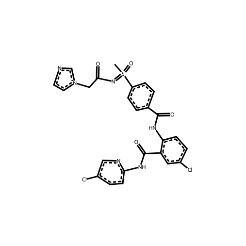 CS(=O)(=NC(=O)Cn1ccnc1)c1ccc(C(=O)Nc2ccc(Cl)cc2C(=O)Nc2ccc(Cl)cn2)cc1